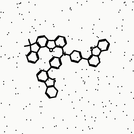 CC1(C)c2ccccc2-c2c1ccc1c2oc2c(N(c3ccc(-c4cccc5c6c(sc45)CCC=C6)cc3)C3C=CC(C4=C5SC6C=CC=CC6C5CC=C4)=CC3)cccc21